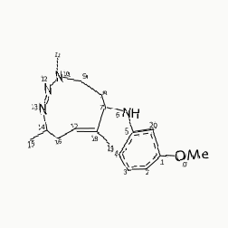 COc1cccc(NC2CCN(C)/N=N\C(C)C/C=C/2C)c1